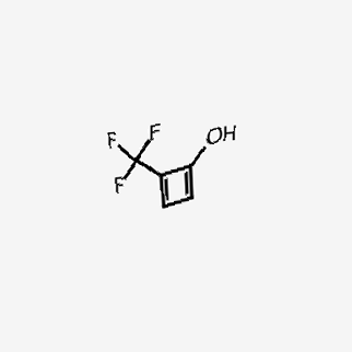 OC1=CC=C1C(F)(F)F